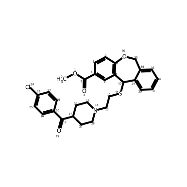 COC(=O)c1ccc2c(c1)C(SCCN1CCC(C(=O)c3ccc(Cl)cc3)CC1)c1ccccc1CO2